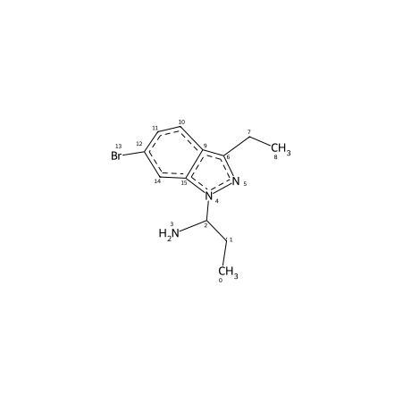 C[CH]C(N)n1nc(CC)c2ccc(Br)cc21